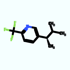 CC(C)[C@H](C)c1ccc(C(F)(F)F)nc1